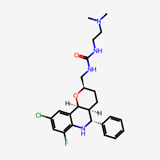 CN(C)CCNC(=O)NC[C@H]1CC[C@@H]2[C@H](O1)c1cc(Cl)cc(F)c1N[C@H]2c1ccccc1